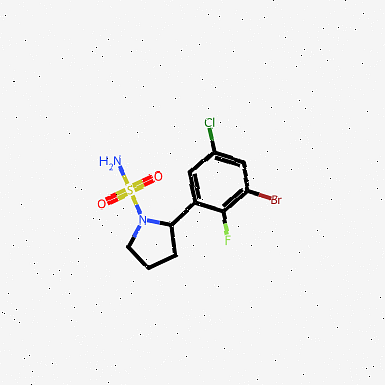 NS(=O)(=O)N1CCCC1c1cc(Cl)cc(Br)c1F